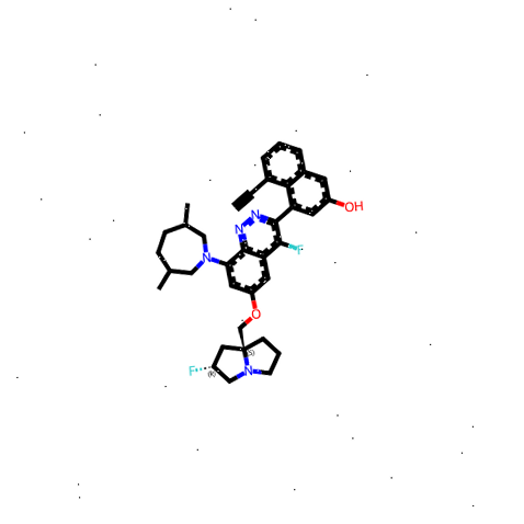 C#Cc1cccc2cc(O)cc(-c3nnc4c(N5CC(C)CCC(C)C5)cc(OC[C@@]56CCCN5C[C@H](F)C6)cc4c3F)c12